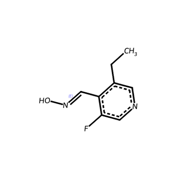 CCc1cncc(F)c1/C=N/O